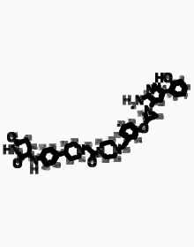 Nc1nnc(-c2ccccc2O)cc1N1CC(Oc2cccc(CN3CCN(C(=O)CN4CCC(c5ccc(NC6CCC(=O)NC6=O)cc5)CC4)CC3)c2)C1